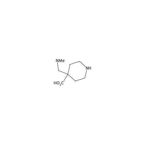 CNCC1(C(=O)O)CCNCC1